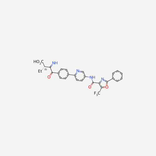 CC[C@@H](C(=N)C(=O)c1ccc(-c2ccc(NC(=O)c3nc(-c4ccccc4)oc3C(F)(F)F)cn2)cc1)C(=O)O